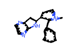 Cn1ccc(C2Cc3nccnc3N2)c1-c1ccccc1